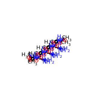 CNC(=O)c1cc(NC(=O)[C@@H](CCCNC(=N)N)NC(=O)c2cc(NC(=O)[C@@H](CCCNC(=N)N)NC(=O)c3cc(NC(=O)[C@@H](CCCNC(=N)N)NC(=O)c4cc(NC(=O)[C@@H](C)NC(C)=O)ccc4OC)ccc3OC)ccc2OC)ccc1OC